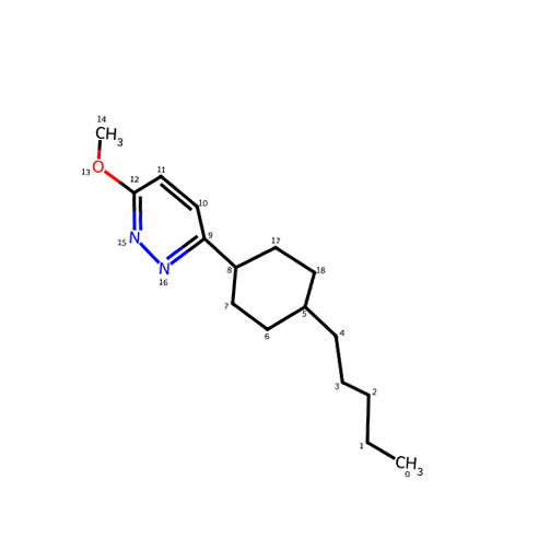 CCCCCC1CCC(c2ccc(OC)nn2)CC1